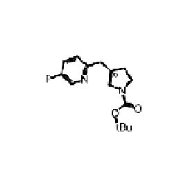 CC(C)(C)OC(=O)N1CC[C@H](Cc2ccc(F)cn2)C1